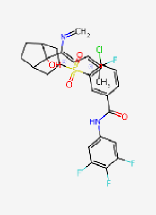 C=N/C(=C\C=C(/C)F)C1(O)C2CCC1CC(S(=O)(=O)c1cc(C(=O)Nc3cc(F)c(F)c(F)c3)ccc1Cl)C2